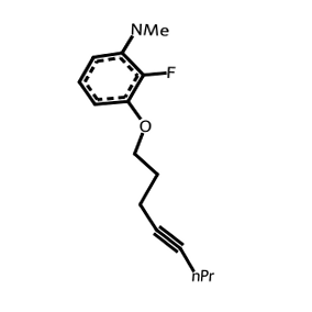 CCCC#CCCCOc1cccc(NC)c1F